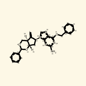 C=C1[C@@H]2COC(c3ccccc3)O[C@H]2C[C@@H]1n1cnc2c(OCc3ccccc3)nc(N)nc21